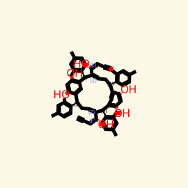 C#C/C=C(O)\C1=C/C[C@@H](c2ccc(C)cc2C)c2cc(c(O)cc2O)[C@@H](c2ccc(C)cc2C)C(/C(O)=C\C#C)=C/C[C@@H](c2ccc(C)cc2C)c2cc(c(O)cc2O)[C@H]1c1ccc(C)cc1C